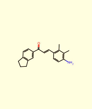 Cc1c(N)ccc(C=CC(=O)c2ccc3c(c2)CCC3)c1C